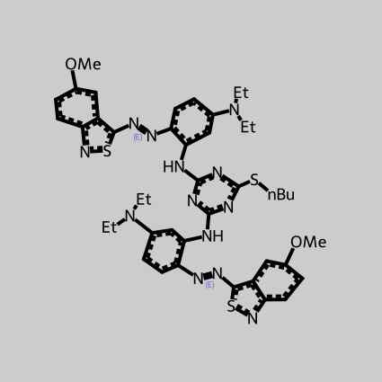 CCCCSc1nc(Nc2cc(N(CC)CC)ccc2/N=N/c2snc3ccc(OC)cc23)nc(Nc2cc(N(CC)CC)ccc2/N=N/c2snc3ccc(OC)cc23)n1